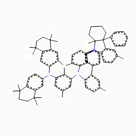 CC(C)(C)c1ccc(N2c3cc(N4c5ccc(C(C)(C)C)cc5C5(c6ccccc6)CCCCC45C)ccc3B3c4cc5c(cc4N(c4ccc6c(c4)C(C)(C)CCC6(C)C)c4cc(C(C)(C)C)cc2c43)C(C)(C)CCC5(C)C)c(-c2ccccc2)c1